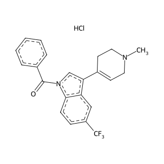 CN1CC=C(c2cn(C(=O)c3ccccc3)c3ccc(C(F)(F)F)cc23)CC1.Cl